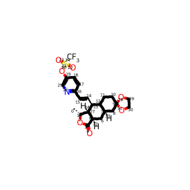 C[C@H]1OC(=O)[C@@H]2C[C@@H]3CC4(CCC3[C@H](/C=C/c3ccc(OS(=O)(=O)C(F)(F)F)cn3)[C@H]12)OCCO4